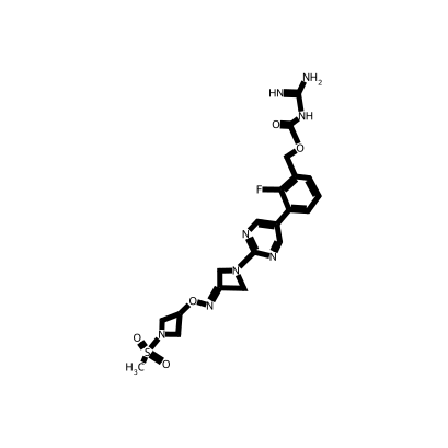 CS(=O)(=O)N1CC(ON=C2CN(c3ncc(-c4cccc(COC(=O)NC(=N)N)c4F)cn3)C2)C1